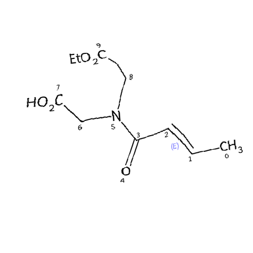 C/C=C/C(=O)N(CC(=O)O)CC(=O)OCC